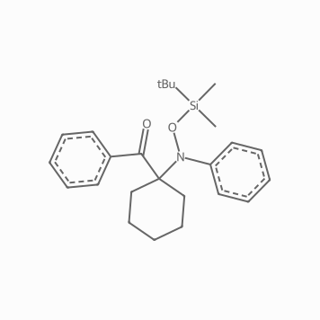 CC(C)(C)[Si](C)(C)ON(c1ccccc1)C1(C(=O)c2ccccc2)CCCCC1